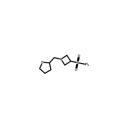 NS(=O)(=O)C1CN(CC2CCCO2)C1